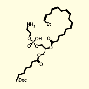 CC/C=C\C/C=C\C/C=C\C/C=C\CCCCC(=O)O[C@H](COC(=O)CCCCCCCCCCCCCCC)COP(=O)(O)OCCN